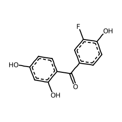 O=C(c1ccc(O)c(F)c1)c1ccc(O)cc1O